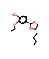 CCCC[C@H]1CO[C@H](c2ccc(O)c(OCC)c2)O1